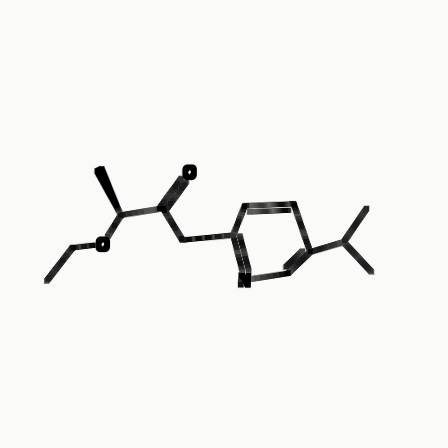 CCO[C@@H](C)C(=O)Cc1ccc(C(C)C)cn1